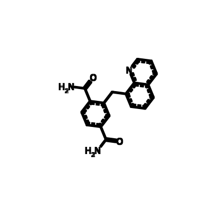 NC(=O)c1ccc(C(N)=O)c(Cc2cccc3cccnc23)c1